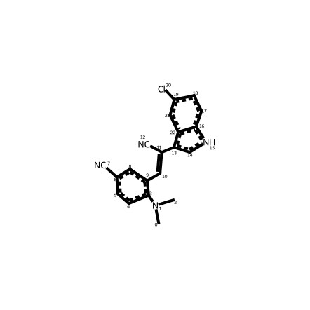 CN(C)c1ccc(C#N)cc1/C=C(\C#N)c1c[nH]c2ccc(Cl)cc12